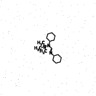 C[Si](C)(C)N(C=NC1CCCCC1)C1CCCCC1